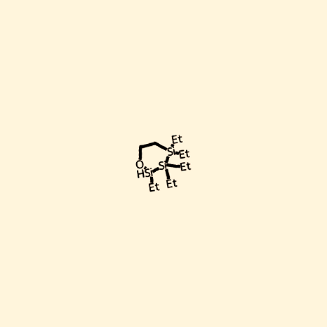 CC[SiH]1OCC[Si](CC)(CC)[Si]1(CC)CC